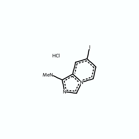 CNc1ncn2ccc(I)cc12.Cl